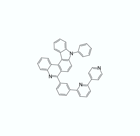 c1ccc(-n2c3ccccc3c3c4c(ccc32)c(-c2cccc(-c3cccc(-c5ccncc5)n3)c2)nc2ccccc24)cc1